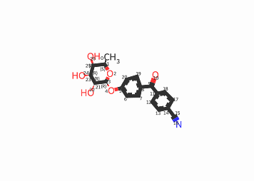 C[C@@H]1O[C@H](Oc2ccc(C(=O)c3ccc(C#N)cc3)cc2)[C@H](O)[C@H](O)[C@H]1O